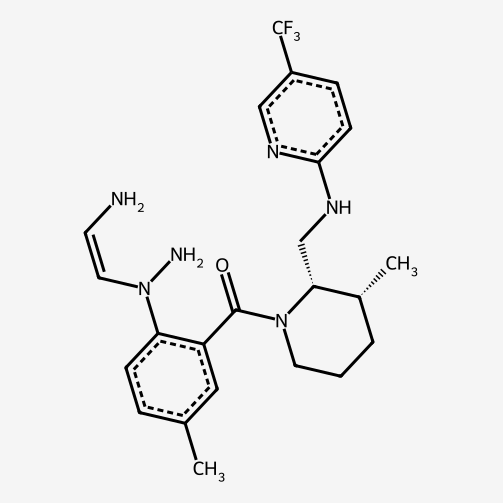 Cc1ccc(N(N)/C=C\N)c(C(=O)N2CCC[C@@H](C)[C@H]2CNc2ccc(C(F)(F)F)cn2)c1